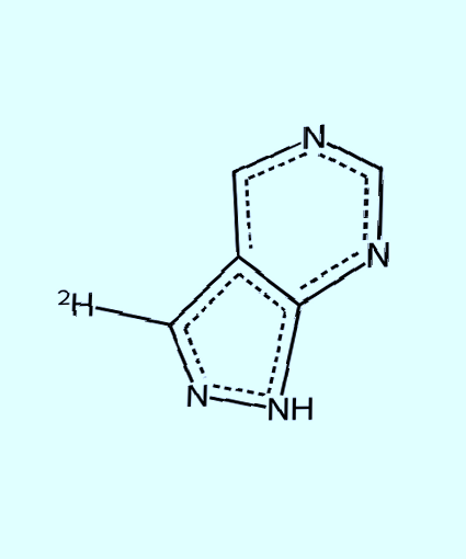 [2H]c1n[nH]c2ncncc12